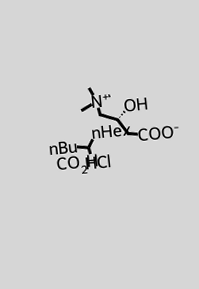 CCCCCCC(CCCC)C(=O)O.C[N+](C)(C)C[C@H](O)CC(=O)[O-].Cl